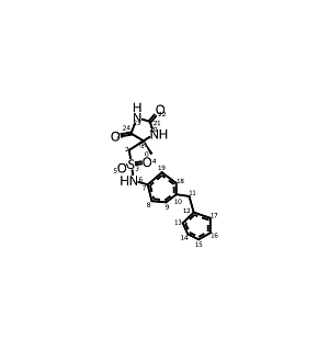 C[C@]1(CS(=O)(=O)Nc2ccc(Cc3ccccc3)cc2)NC(=O)NC1=O